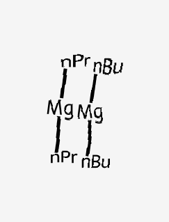 CCC[CH2][Mg][CH2]CCC.CC[CH2][Mg][CH2]CC